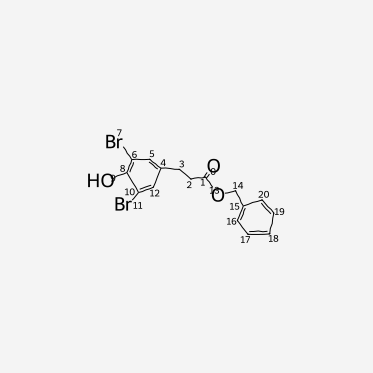 O=C(CCc1cc(Br)c(O)c(Br)c1)OCc1ccccc1